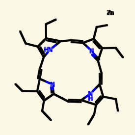 CCC1=C(CC)c2cc3[nH]c(cc4nc(cc5[nH]c(cc1n2)c(CC)c5CC)C(CC)=C4CC)c(CC)c3CC.[Zn]